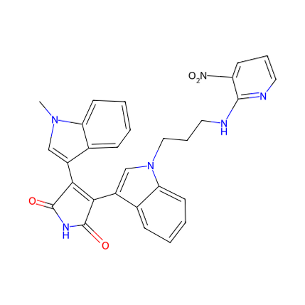 Cn1cc(C2=C(c3cn(CCCNc4ncccc4[N+](=O)[O-])c4ccccc34)C(=O)NC2=O)c2ccccc21